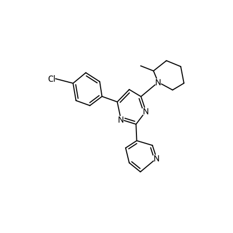 CC1CCCCN1c1cc(-c2ccc(Cl)cc2)nc(-c2cccnc2)n1